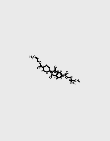 C=CCOC(=O)C1CCC(N2C(=O)c3ccc(C(=O)OCC(=C)C)cc3C2=O)CC1